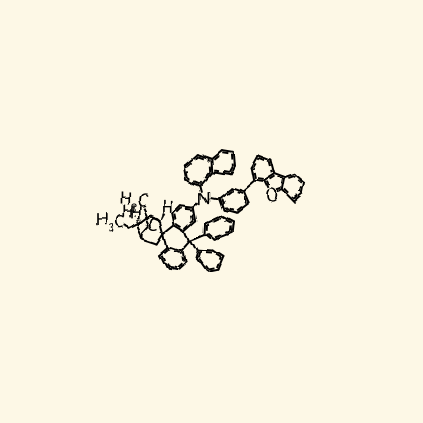 CC[C@@H]1C[C@H]2C[C@H](C)CC1CC21c2ccccc2C(c2ccccc2)(c2ccccc2)c2cc(N(c3cccc(-c4cccc5c4oc4ccccc45)c3)c3cccc4ccccc34)ccc21